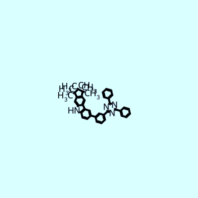 CC1(C)c2cc3[nH]c4ccc(-c5cccc(-c6nc(-c7ccccc7)nc(-c7ccccc7)n6)c5)cc4c3cc2C(C)(C)C1(C)C